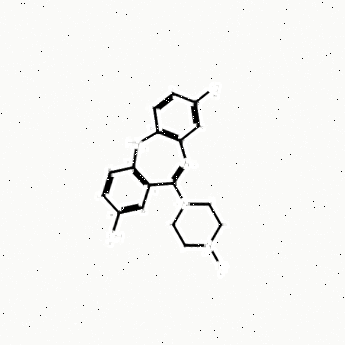 CCN1CCN(C2=Nc3cc(Cl)ccc3Nc3ccc(O)cc32)CC1